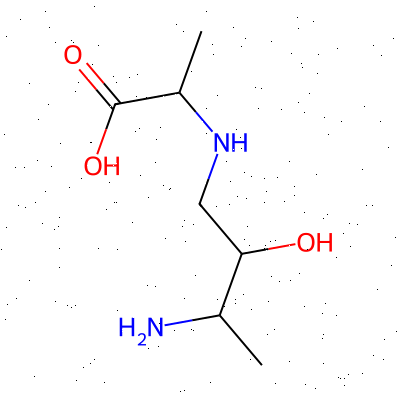 CC(NCC(O)C(C)N)C(=O)O